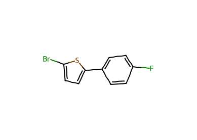 Fc1ccc(-c2ccc(Br)s2)cc1